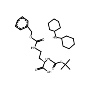 C1CCC(NC2CCCCC2)CC1.CC(C)(C)OC(=O)N[C@H](CCNC(=O)OCc1ccccc1)C(=O)O